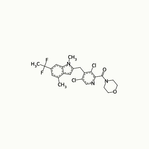 Cc1cc(C(C)(F)F)cc2c1cc(Cc1c(Cl)cnc(C(=O)N3CCOCC3)c1Cl)n2C